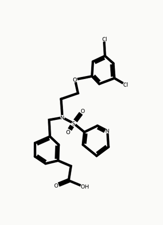 O=C(O)Cc1cccc(CN(CCOc2cc(Cl)cc(Cl)c2)S(=O)(=O)c2cccnc2)c1